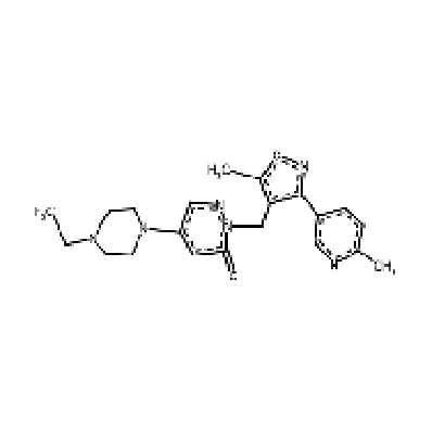 Cc1ccc(-c2noc(C)c2Cn2ncc(N3CCN(CC(F)(F)F)CC3)cc2=O)cn1